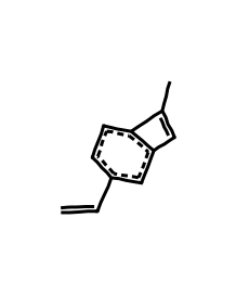 C=Cc1ccc2c(c1)C=C2C